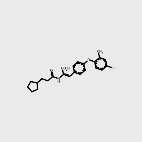 Cc1cc(Cl)ccc1Oc1ccc(/C=C(/NC(=O)CCC2CCCC2)C(=O)O)cc1